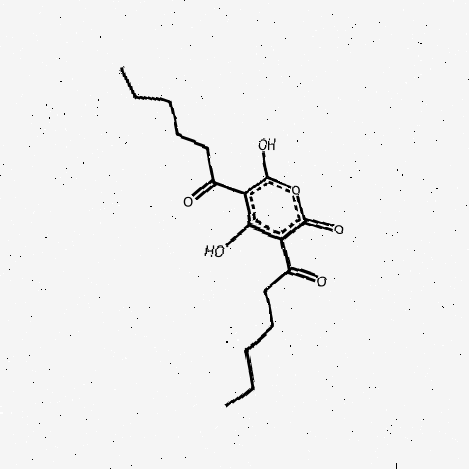 CCCCCC(=O)c1c(O)oc(=O)c(C(=O)CCCCC)c1O